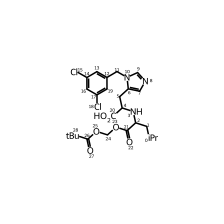 CC(C)CC(NC(Cc1cncn1Cc1cc(Cl)cc(Cl)c1)C(=O)O)C(=O)OCOC(=O)C(C)(C)C